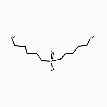 CC(C)CCCCCP([O])(=O)CCCCCC(C)C